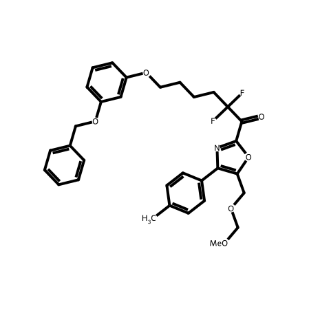 COCOCc1oc(C(=O)C(F)(F)CCCCOc2cccc(OCc3ccccc3)c2)nc1-c1ccc(C)cc1